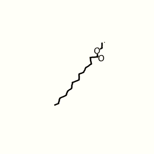 [CH2]COC(=O)CCCCCCCCCCCCC